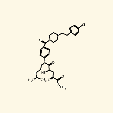 COC(=O)C(=O)CC(S)C(=O)N(CCOC(C)C)c1ccc(C(=O)N2CCN(CCc3ccc(Cl)cc3)CC2)cc1